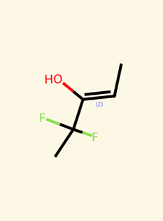 C/C=C(\O)C(C)(F)F